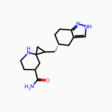 NC(=O)C1CCNC2(C1)CC2C[C@@H]1CCc2n[nH]cc2C1